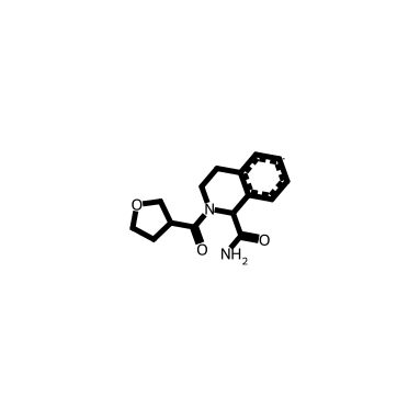 NC(=O)C1c2cc[c]cc2CCN1C(=O)C1CCOC1